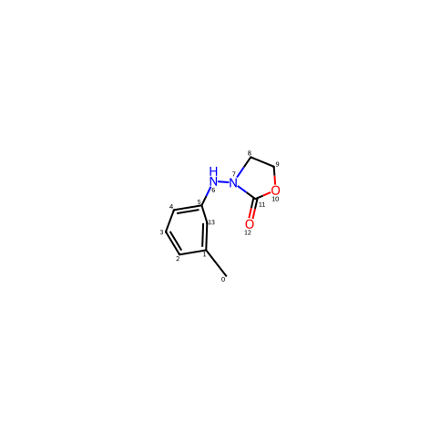 Cc1cccc(NN2CCOC2=O)c1